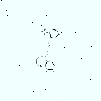 COc1c(O)ccc2c1CCCOC2COCCc1cc(Cl)ccc1S(=O)(=O)O